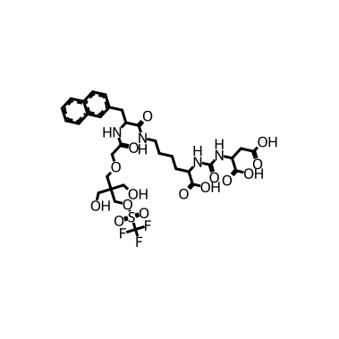 O=C(O)CC(NC(=O)NC(CCCCNC(=O)C(Cc1ccc2ccccc2c1)NC(=O)COCC(CO)(CO)COS(=O)(=O)C(F)(F)F)C(=O)O)C(=O)O